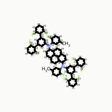 Cc1ccc(F)c(N(c2cc(-c3c(F)cccc3F)cc(-c3c(F)cccc3F)c2)c2ccc3ccc4c(N(c5cc(-c6c(F)cccc6F)cc(-c6c(F)cccc6F)c5)c5cc(C)ccc5F)ccc5ccc2c3c54)c1